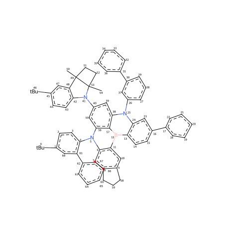 CC(C)(C)c1ccc(N2c3cc4c(cc3B3c5ccc(-c6ccccc6)cc5N(c5cccc(-c6ccccc6)c5)c5cc(N6c7ccc(C(C)(C)C)cc7C7(C)CCC67C)cc2c53)CCC4)c(-c2ccccc2)c1